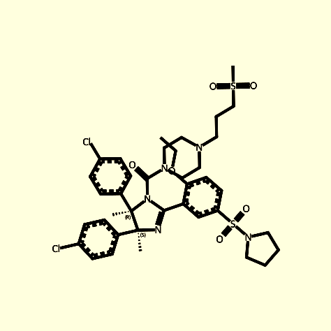 CCOc1ccc(S(=O)(=O)N2CCCC2)cc1C1=N[C@@](C)(c2ccc(Cl)cc2)[C@@](C)(c2ccc(Cl)cc2)N1C(=O)N1CCN(CCCS(C)(=O)=O)CC1